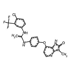 C=C(Nc1ccc(Oc2ccnc3c2[nH]c(=O)n3C)cc1)Nc1ccc(Cl)c(C(F)(F)F)c1